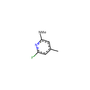 CNc1cc(C)cc(F)n1